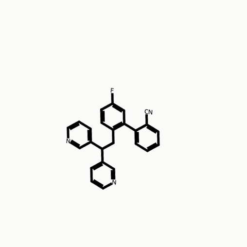 N#Cc1ccccc1-c1cc(F)ccc1CC(c1cccnc1)c1cccnc1